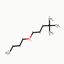 CCCCOC[CH]CC(C)(C)C